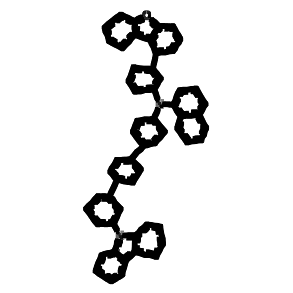 c1cc(-c2cccc3oc4ccccc4c23)cc(N(c2ccc(-c3ccc(-c4cccc(-n5c6ccccc6c6ccccc65)c4)cc3)cc2)c2cccc3ccccc23)c1